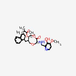 COc1ccnc(CN[C@H]2COCC(Cc3cccc4ccccc34)C(OC(=O)C(C)C)[C@H](C)OC2=O)c1O